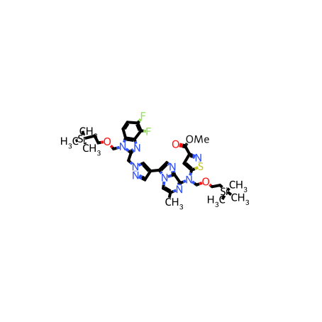 COC(=O)c1cc(N(COCC[Si](C)(C)C)c2nc(C)cn3c(-c4cnn(Cc5nc6c(F)c(F)ccc6n5COCC[Si](C)(C)C)c4)cnc23)sn1